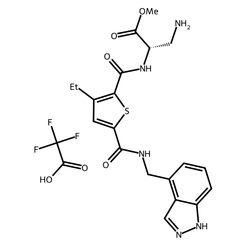 CCc1cc(C(=O)NCc2cccc3[nH]ncc23)sc1C(=O)N[C@@H](CN)C(=O)OC.O=C(O)C(F)(F)F